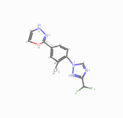 FC(F)c1ncn(-c2ccc(C3=NNC=CO3)cc2C(F)(F)F)n1